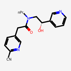 CCCN(C[C@@H](O)c1cccnc1)C(=O)Cc1ccc(C#N)nc1